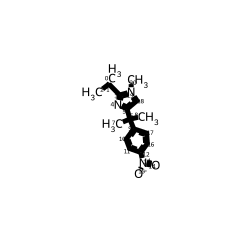 CC(C)c1nc(C(C)(C)c2ccc([N+](=O)[O-])cc2)cn1C